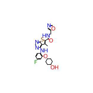 Cc1c(C(=O)NCc2cnco2)sc2ncnc(Nc3ccc(F)cc3O[C@H]3CC[C@H](O)CC3)c12